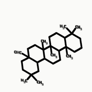 CC1(C)CCC2(C=O)CCC3(C)C(CCC4C5(C)CCCC(C)(C)C5CCC43C)C2C1